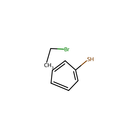 CCBr.Sc1ccccc1